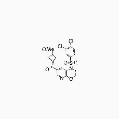 COC1CN(C(=O)c2cnc3c(c2)N(S(=O)(=O)c2ccc(Cl)c(Cl)c2)CCO3)C1